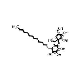 CCCCCCCCCCCCOC[C@H]1O[C@H](O[C@]2(CO)O[C@H](CO)[C@@H](O)[C@@H]2O)[C@H](O)[C@@H](O)[C@@H]1O